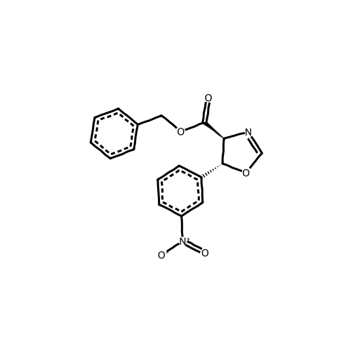 O=C(OCc1ccccc1)[C@H]1N=CO[C@@H]1c1cccc([N+](=O)[O-])c1